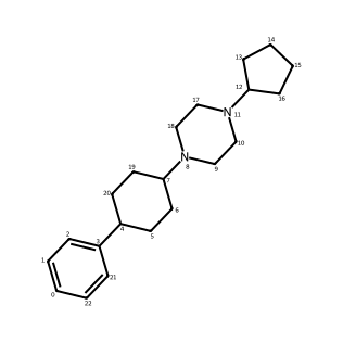 c1ccc(C2CCC(N3CCN(C4CCCC4)CC3)CC2)cc1